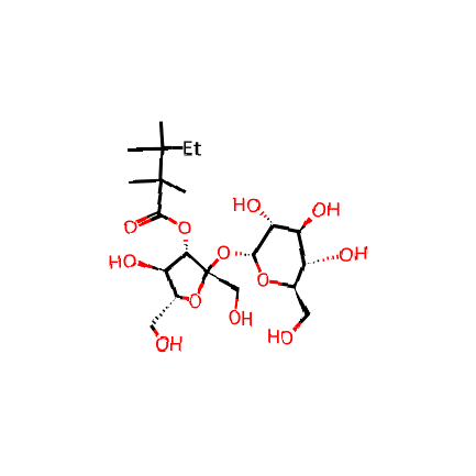 CCC(C)(C)C(C)(C)C(=O)O[C@H]1[C@H](O)[C@@H](CO)O[C@@]1(CO)O[C@H]1O[C@H](CO)[C@@H](O)[C@H](O)[C@H]1O